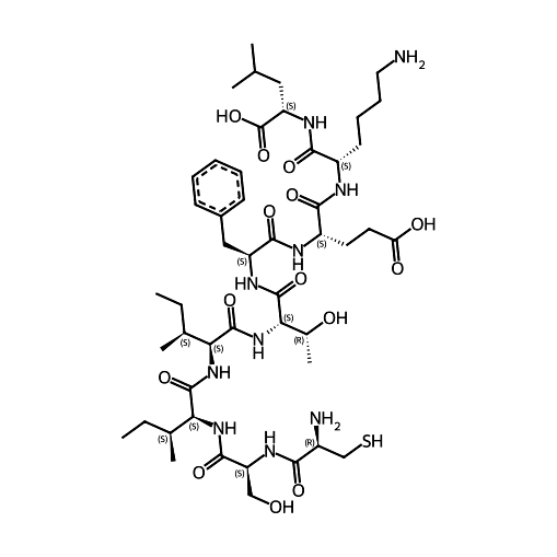 CC[C@H](C)[C@H](NC(=O)[C@H](CO)NC(=O)[C@@H](N)CS)C(=O)N[C@H](C(=O)N[C@H](C(=O)N[C@@H](Cc1ccccc1)C(=O)N[C@@H](CCC(=O)O)C(=O)N[C@@H](CCCCN)C(=O)N[C@@H](CC(C)C)C(=O)O)[C@@H](C)O)[C@@H](C)CC